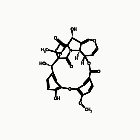 COc1ccc2cc1Oc1cc(ccc1O)[C@H](O)[C@]13SS[C@@]4(C(=O)N1C)[C@H](O)C1=COC=C[C@H](OC2=O)[C@H]1N4C3=O